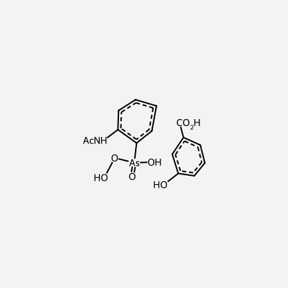 CC(=O)Nc1ccccc1[As](=O)(O)OO.O=C(O)c1cccc(O)c1